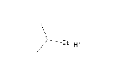 CCC(C)C.[H+]